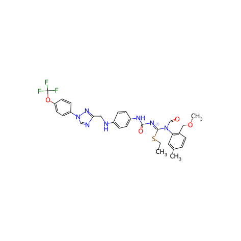 CCS/C(=N\C(=O)Nc1ccc(NCc2ncn(-c3ccc(OC(F)(F)F)cc3)n2)cc1)N(C=O)c1cc(C)ccc1COC